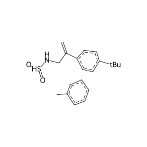 C=C(CN[SH](=O)=O)c1ccc(C(C)(C)C)cc1.Cc1ccccc1